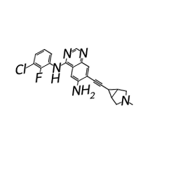 CN1CC2C(C#Cc3cc4ncnc(Nc5cccc(Cl)c5F)c4cc3N)C2C1